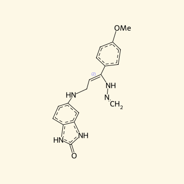 C=NN/C(=C\CNc1ccc2[nH]c(=O)[nH]c2c1)c1ccc(OC)cc1